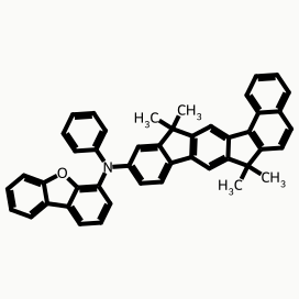 CC1(C)c2cc(N(c3ccccc3)c3cccc4c3oc3ccccc34)ccc2-c2cc3c(cc21)-c1c(ccc2ccccc12)C3(C)C